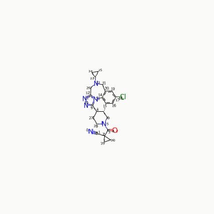 N#CC1(C(=O)N2CCC(c3nnc4n3-c3ccc(Cl)cc3CN(C3CC3)C4)CC2)CC1